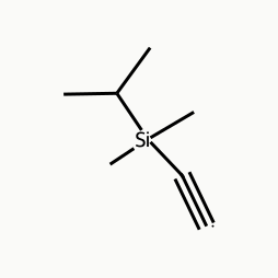 [C]#C[Si](C)(C)C(C)C